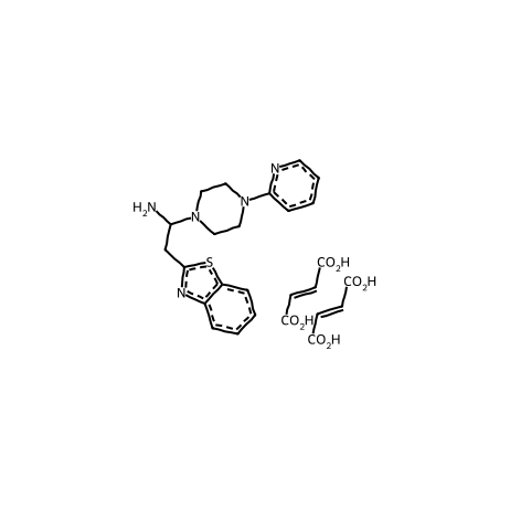 NC(Cc1nc2ccccc2s1)N1CCN(c2ccccn2)CC1.O=C(O)C=CC(=O)O.O=C(O)C=CC(=O)O